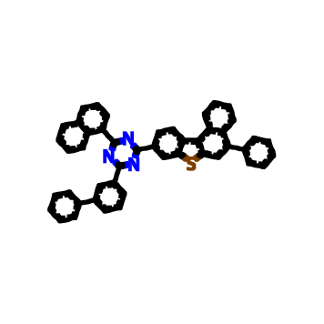 c1ccc(-c2cccc(-c3nc(-c4ccc5c(c4)sc4cc(-c6ccccc6)c6ccccc6c45)nc(-c4cccc5ccccc45)n3)c2)cc1